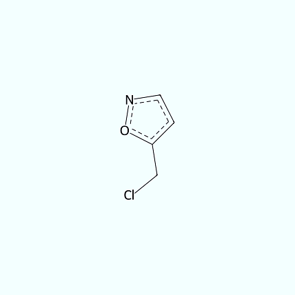 ClCc1ccno1